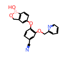 N#Cc1ccc(Oc2ccc3c(c2)COB3O)c(OCc2ccccn2)c1